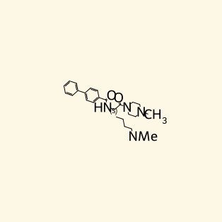 CNCCCC[C@H](NC(=O)c1ccc(-c2ccccc2)cc1)C(=O)N1CCN(C)CC1